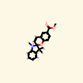 COC(=O)c1ccc2c(c1)C=CC1(O2)N(C)c2ccccc2C1(C)C